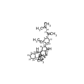 COc1cc(N(C)CCN(C)C)ccc1-c1cc2c(Nc3ccccc3P(C)(C)=O)ccnc2[nH]1